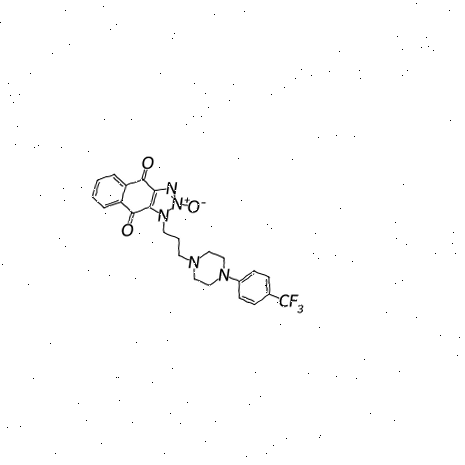 O=C1c2ccccc2C(=O)c2c1n[n+]([O-])n2CCCN1CCN(c2ccc(C(F)(F)F)cc2)CC1